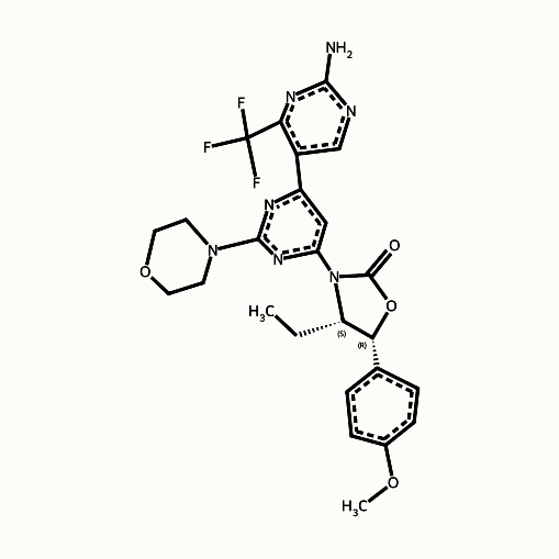 CC[C@H]1[C@@H](c2ccc(OC)cc2)OC(=O)N1c1cc(-c2cnc(N)nc2C(F)(F)F)nc(N2CCOCC2)n1